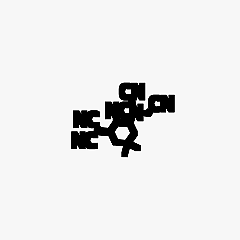 CC1(C)CC(=C(C#N)C#N)C(C#N)=C(N(CC#N)CC#N)C1